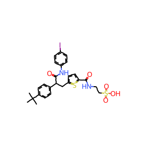 CC(C)(C)c1ccc(C(Cc2ccc(C(=O)NCCS(=O)(=O)O)s2)C(=O)Nc2ccc(I)cc2)cc1